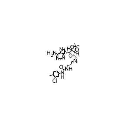 Cc1ccc(NC(=O)NCCCN(C)C[C@H]2OC(n3cnc4c(N)ncnc43)[C@@H]3OC(C)(C)O[C@H]23)cc1Cl